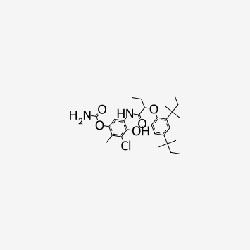 CCC(Oc1ccc(C(C)(C)CC)cc1C(C)(C)CC)C(=O)Nc1cc(OC(N)=O)c(C)c(Cl)c1O